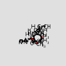 C#CCCN(C)[C@H]1C[C@@H](C)O[C@@H](O[C@@H]2[C@@H](C)C(=O)[C@](C)(F)C(=O)O[C@H](CC)[C@@]3(C)OC(=O)N4C(CCCn5cnc(-c6cccnc6)c5)[C@@H](C(=O)[C@H](C)C[C@@]2(C)OC)C43)[C@@H]1O